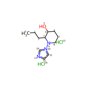 CCCC1C(O)CCCN1n1ccnc1.Cl.Cl